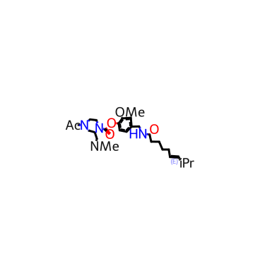 CNCC1CN(C(C)=O)CCN1C(=O)Oc1ccc(CNC(=O)CCCC/C=C/C(C)C)cc1OC